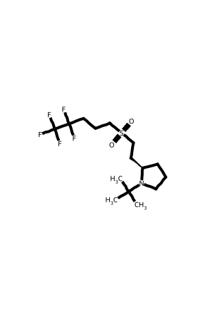 CC(C)(C)N1CCC[C@@H]1CCS(=O)(=O)CCCC(F)(F)C(F)(F)F